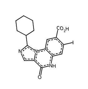 O=C(O)c1cc2c(cc1I)[nH]c(=O)c1cnc(C3CCCCC3)n12